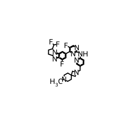 CN1CCC2(CC1)CN(Cc1ccc(Nc3ncc(F)c(-c4cc(F)c5nc6n(c5c4)C(C(F)F)CC6)n3)nc1)C2